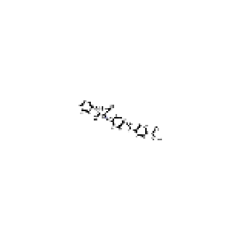 COC(=O)c1ccc(COc2ccc(/C=C(\C#N)C(=O)Nc3ccccc3)cc2)cc1